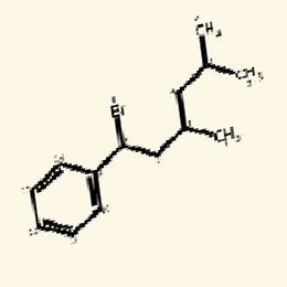 CC(C)CC(C)CC(Br)c1ccccc1